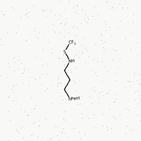 CCCCCCCCNSC(F)(F)F